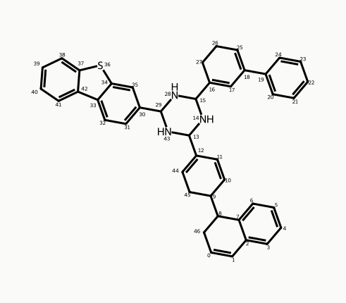 C1=Cc2ccccc2C(C2C=CC(C3NC(C4=CC(c5ccccc5)=CCC4)NC(c4ccc5c(c4)sc4ccccc45)N3)=CC2)C1